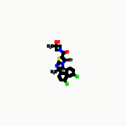 CC(C)C1=C(C(=O)N2CC(C)(O)C2)SC2=N[C@@](C)(c3ccc(Cl)cc3)[C@@H](c3ccc(Cl)cc3)N21